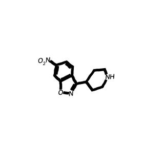 O=[N+]([O-])c1ccc2c(C3CCNCC3)noc2c1